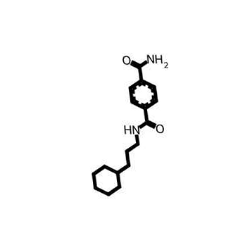 NC(=O)c1ccc(C(=O)NCCCC2CCCCC2)cc1